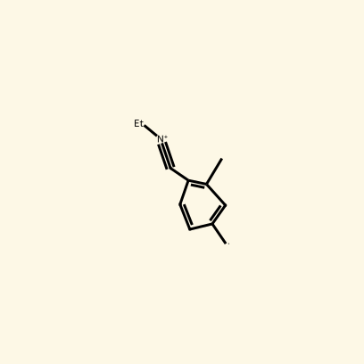 [CH2]c1ccc(C#[N+]CC)c(C)c1